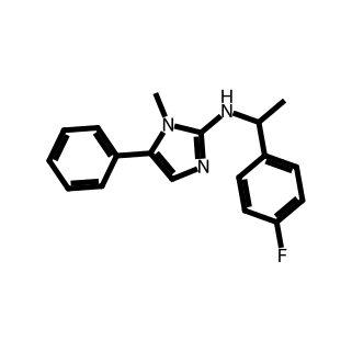 CC(Nc1ncc(-c2ccccc2)n1C)c1ccc(F)cc1